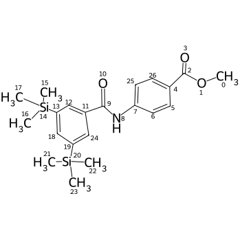 COC(=O)c1ccc(NC(=O)c2cc([Si](C)(C)C)cc([Si](C)(C)C)c2)cc1